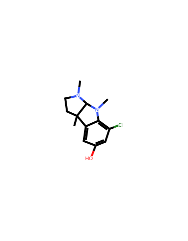 CN1CCC2(C)c3cc(O)cc(Cl)c3N(C)C12